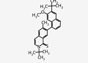 COc1cc2c(-c3cc4c(=S)n(C(C)(C)C)ccc4cc3C)cccc2cc1C(C)(C)C